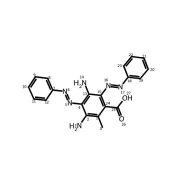 Cc1c(N)c(N=Nc2ccccc2)c(N)c(N=Nc2ccccc2)c1C(=O)O